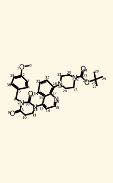 COc1ccc(CN2C(=O)CCN(c3ccnc4c(N5CCN(C(=O)OC(C)(C)C)CC5)cccc34)C2=O)cc1